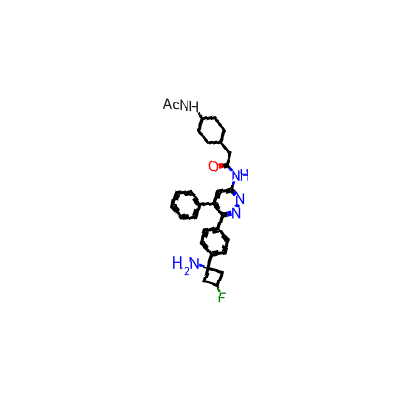 CC(=O)NC1CCC(CC(=O)Nc2cc(-c3ccccc3)c(-c3ccc([C@]4(N)C[C@@H](F)C4)cc3)nn2)CC1